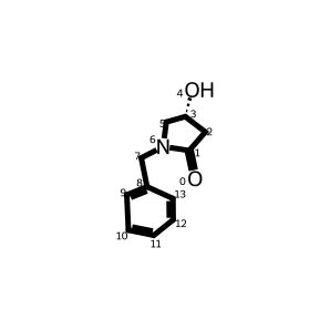 O=C1C[C@@H](O)CN1Cc1ccccc1